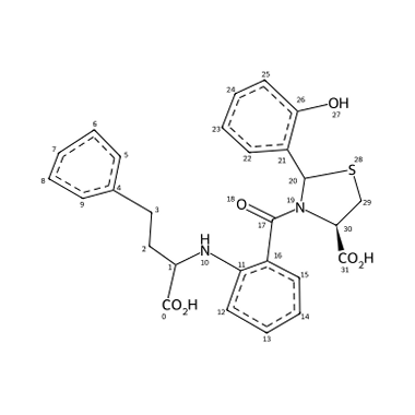 O=C(O)C(CCc1ccccc1)Nc1ccccc1C(=O)N1C(c2ccccc2O)SC[C@H]1C(=O)O